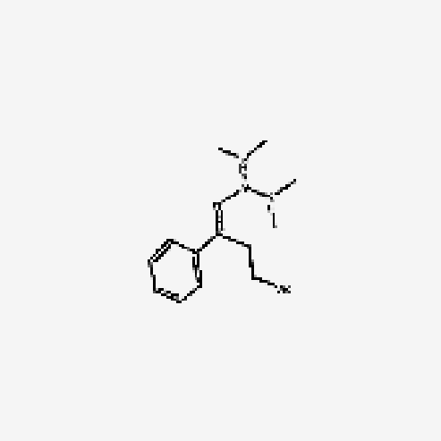 CC(=O)CCC(=NN([SiH](C)C)[SiH](C)C)c1ccccc1